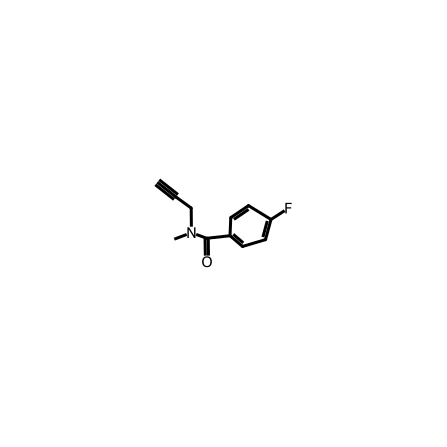 C#CCN(C)C(=O)c1ccc(F)cc1